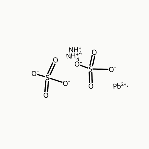 O=S(=O)([O-])[O-].O=S(=O)([O-])[O-].[NH4+].[NH4+].[Pb+2]